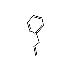 C=CC[si]1bcccc1